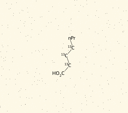 CCC[13CH2][13CH2][13CH2][13C](=O)O